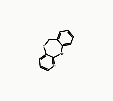 c1ccc2c(c1)COc1cccnc1N2